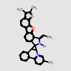 C/C=C1/c2c(ccc3c2oc2c3ccc3c(C)c(C)sc32)C2(C3c4ccccc4-c4ccc(C)c[n+]4C32)N1CC